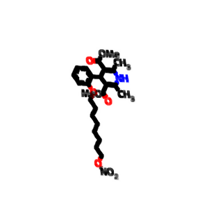 COC(=O)C1=C(C)NC(C)=C(C(=O)OC)C1c1ccccc1OCCCCCCCCO[N+](=O)[O-]